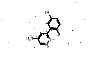 CC(C)c1ccc(F)c(-c2cc(N)cnn2)c1